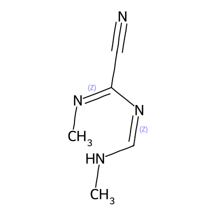 C/N=C(C#N)\N=C/NC